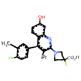 Cc1cc(-c2c(C(C)C)c(N3CC(F)(C(=O)O)C3)nc3cc(O)ccc23)ccc1F